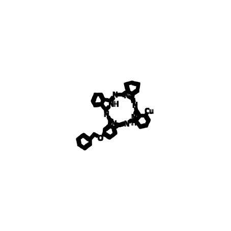 [Cu][c]1cccc2c3nc4nc(nc5[nH]c(nc6nc(nc([nH]3)c12)-c1ccccc1-6)c1ccccc51)-c1cc(OCc2ccccc2)ccc1-4